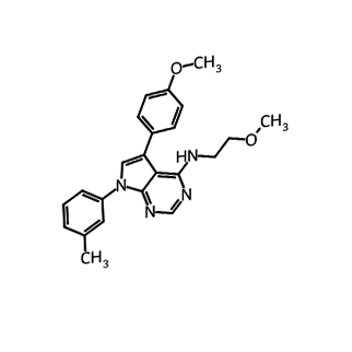 COCCNc1ncnc2c1c(-c1ccc(OC)cc1)cn2-c1cccc(C)c1